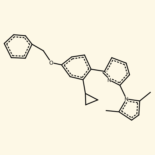 Cc1ccc(C)n1-c1cccc(-c2ccc(OCc3ccccc3)cc2C2CC2)n1